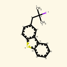 CC(C)(I)Cc1ccc2sc3ccccc3c2c1